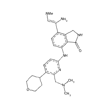 CN/C=C(\N)c1ccc(Nc2ccc(C3CCOCC3)c(CN(C)C)n2)c2c1CNC2=O